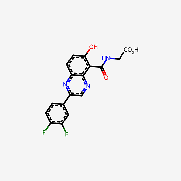 O=C(O)CNC(=O)c1c(O)ccc2nc(-c3ccc(F)c(F)c3)cnc12